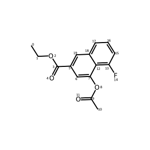 CCOC(=O)c1cc(OC(C)=O)c2c(F)cccc2c1